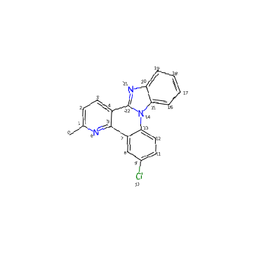 Cc1ccc2c(n1)c1cc(Cl)ccc1n1c3ccccc3nc21